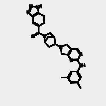 Cc1cc(C)cc(Nc2ncc3c(n2)CN(C2CC4CC2CN4C(=O)c2ccc4[nH]nnc4c2)C3)c1